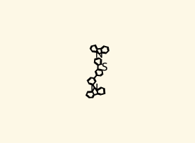 c1cc(-c2ccc3sc4cc(-n5c6ccccc6c6ccccc65)ccc4c3c2)cc(-n2c3ccccc3c3ccccc32)c1